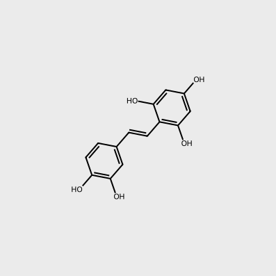 Oc1cc(O)c(C=Cc2ccc(O)c(O)c2)c(O)c1